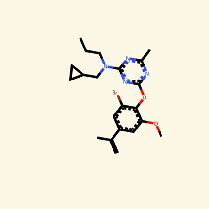 C=C(C)c1cc(Br)c(Oc2nc(C)nc(N(CCC)CC3CC3)n2)c(OC)c1